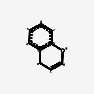 [C]1=CCc2cc[c]cc2O1